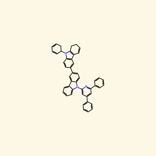 C1=CCC(n2c3c(c4cc(-c5ccc6c(c5)c5ccccc5n6-c5cc(-c6ccccc6)cc(-c6ccccc6)n5)ccc42)C=CCC3)C=C1